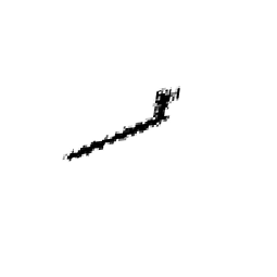 CCCCCCCCCCCCCCCCCC(C)OCC(C)(C)O